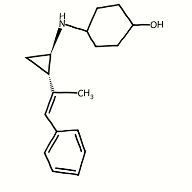 C/C(=C\c1ccccc1)[C@@H]1C[C@H]1NC1CCC(O)CC1